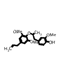 C=CCc1cc(OC)c(OC(C)Cc2ccc(O)c(OC)c2)c(OC)c1